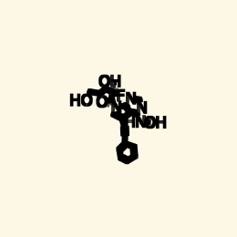 C[C@@]1(F)C(O)C(CO)O[C@H]1n1cc(C#Cc2ccccc2)c2c(NO)ncnc21